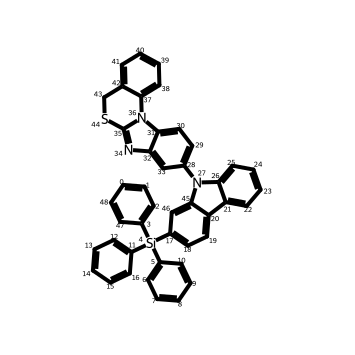 c1ccc([Si](c2ccccc2)(c2ccccc2)c2ccc3c4ccccc4n(-c4ccc5c(c4)nc4n5-c5ccccc5CS4)c3c2)cc1